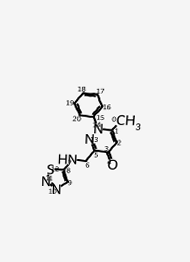 Cc1cc(=O)c(CNc2cnns2)nn1-c1ccccc1